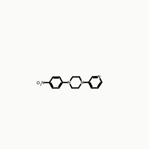 O=[N+]([O-])c1ccc(N2CCN(c3cccnc3)CC2)cc1